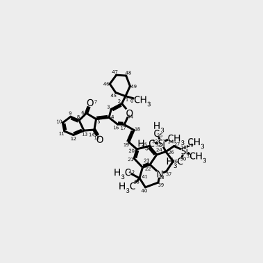 CC1(C2=CC(=C3C(=O)c4ccccc4C3=O)C=C(/C=C/c3cc4c5c(c3)C(C[Si](C)(C)C)([Si](C)(C)C)CCN5CCC4(C)C)O2)CCCCC1